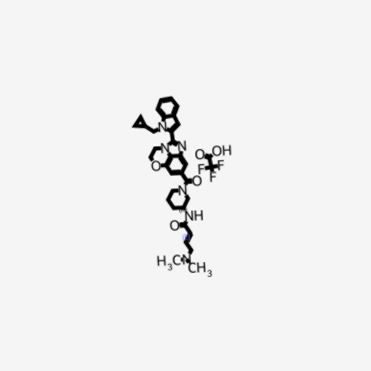 CN(C)C/C=C/C(=O)N[C@@H]1CCCN(C(=O)c2cc3c4c(c2)nc(-c2cc5ccccc5n2CC2CC2)n4CCO3)C1.O=C(O)C(F)(F)F